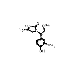 COC[C@@H](c1ccc(O)c([N+](=O)[O-])c1)N1C[C@@H](C(F)(F)F)NC1=O